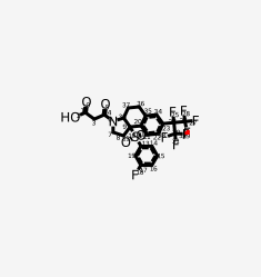 O=C(O)CC(=O)N1CCC2(S(=O)(=O)c3cccc(F)c3)c3ccc(C(F)(C(F)(F)F)C(F)(F)F)cc3CCC12